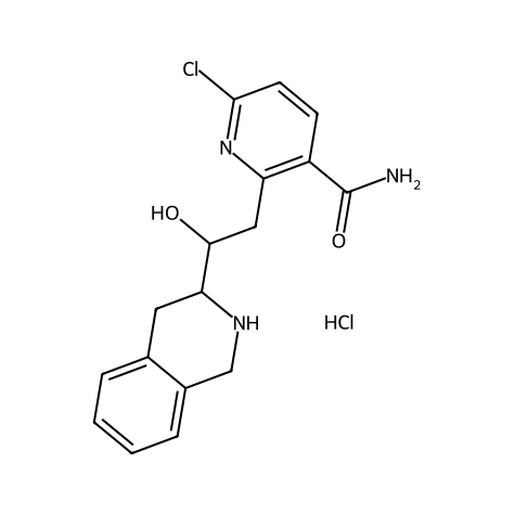 Cl.NC(=O)c1ccc(Cl)nc1CC(O)C1Cc2ccccc2CN1